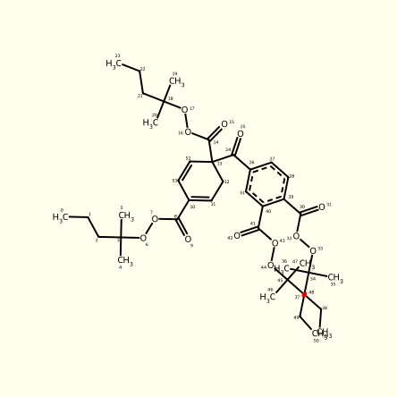 CCCC(C)(C)OOC(=O)C1=CCC(C(=O)OOC(C)(C)CCC)(C(=O)c2ccc(C(=O)OOC(C)(C)CCC)c(C(=O)OOC(C)(C)CCC)c2)C=C1